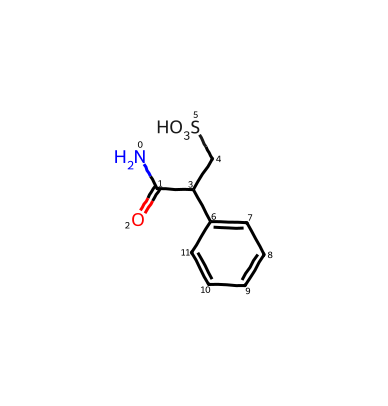 NC(=O)C(CS(=O)(=O)O)c1ccccc1